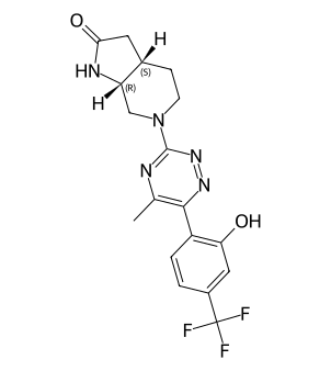 Cc1nc(N2CC[C@H]3CC(=O)N[C@H]3C2)nnc1-c1ccc(C(F)(F)F)cc1O